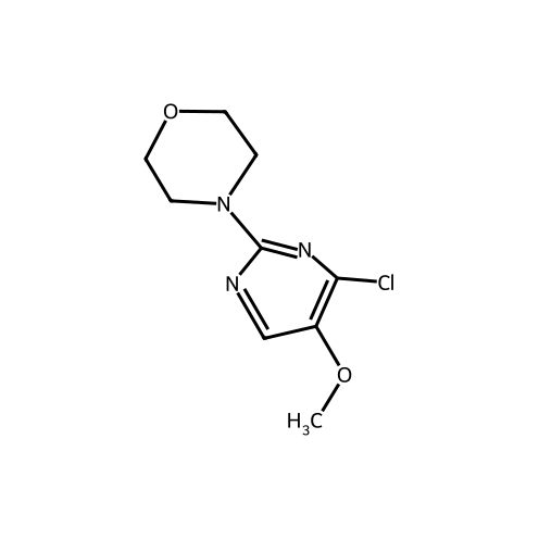 COc1cnc(N2CCOCC2)nc1Cl